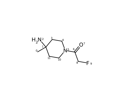 CC1(N)CCN(C(=O)CF)CC1